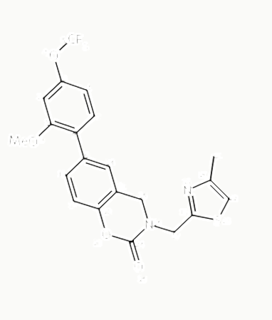 COc1cc(OC(F)(F)F)ccc1-c1ccc2c(c1)CN(Cc1nc(C)cs1)C(=O)O2